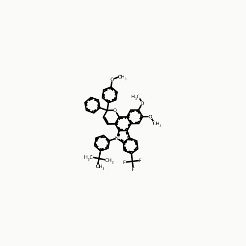 COc1ccc(C2(c3ccccc3)C=Cc3c(c4cc(OC)c(OC)cc4c4c5ccc(C(F)(F)F)cc5n(-c5cccc(C(C)(C)C)c5)c34)O2)cc1